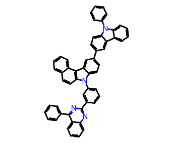 c1ccc(-c2nc(-c3cccc(-n4c5ccc(-c6ccc7c(c6)c6ccccc6n7-c6ccccc6)cc5c5c6ccccc6ccc54)c3)nc3ccccc23)cc1